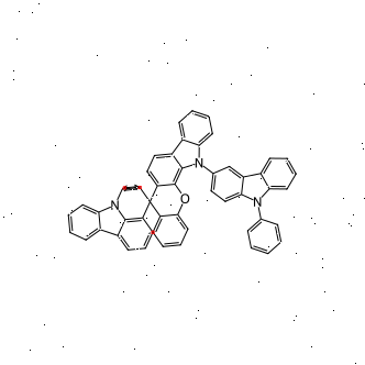 c1ccc(-n2c3ccccc3c3cc(-n4c5ccccc5c5ccc6c(c54)Oc4ccccc4C64c5ccccc5-n5c6ccccc6c6cccc4c65)ccc32)cc1